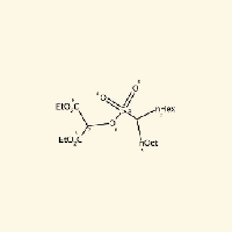 CCCCCCCCC(CCCCCC)S(=O)(=O)OC(C(=O)OCC)C(=O)OCC